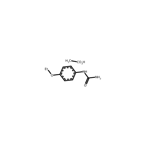 CC(=O)O.CCOc1ccc(NC(N)=O)cc1